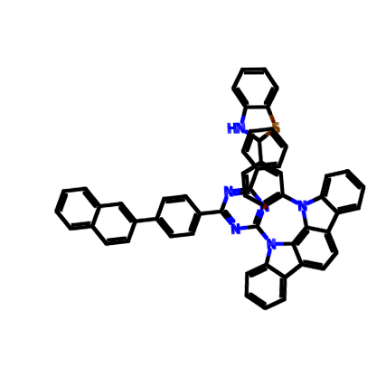 c1ccc(-c2nc(-c3ccc(-c4ccc5ccccc5c4)cc3)nc(-n3c4ccccc4c4ccc5c6ccccc6n(-c6cccc(C7Nc8ccccc8S7)c6)c5c43)n2)cc1